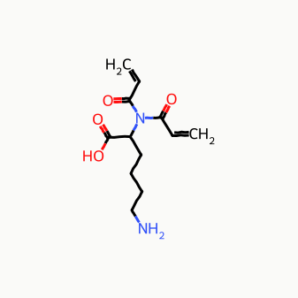 C=CC(=O)N(C(=O)C=C)C(CCCCN)C(=O)O